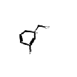 OC[C@H]1C=C(F)C=CC1